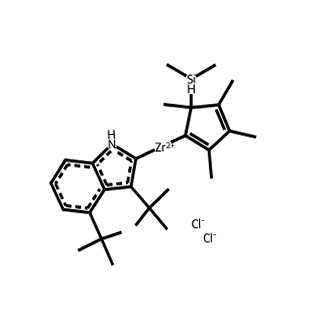 CC1=C(C)C(C)([SiH](C)C)[C]([Zr+2][c]2[nH]c3cccc(C(C)(C)C)c3c2C(C)(C)C)=C1C.[Cl-].[Cl-]